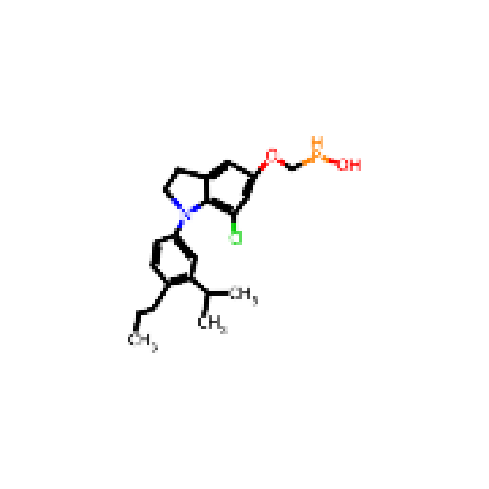 CCCc1ccc(N2CCc3cc(OCPO)cc(Cl)c32)cc1C(C)C